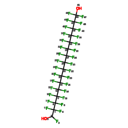 OC(F)C(F)(F)C(F)(F)C(F)(F)C(F)(F)C(F)(F)C(F)(F)C(F)(F)C(F)(F)C(F)(F)C(F)(F)C(F)(F)C(F)(F)C(F)(F)C(F)(F)C(O)(F)F